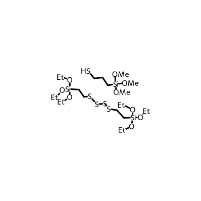 CCO[Si](CCSSSSCC[Si](OCC)(OCC)OCC)(OCC)OCC.CO[Si](CCCS)(OC)OC